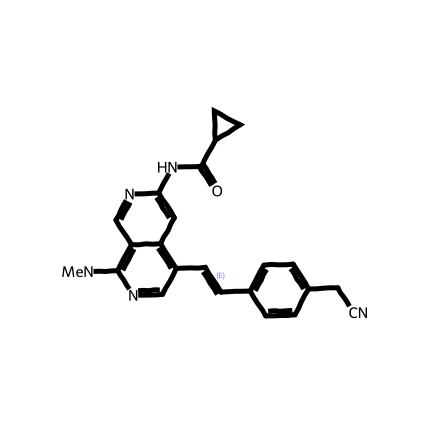 CNc1ncc(/C=C/c2ccc(CC#N)cc2)c2cc(NC(=O)C3CC3)ncc12